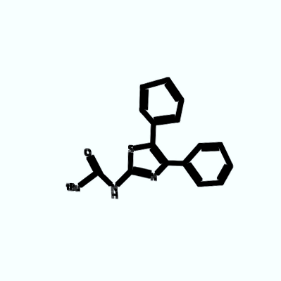 CC(C)(C)C(=O)Nc1nc(-c2ccccc2)c(-c2ccccc2)s1